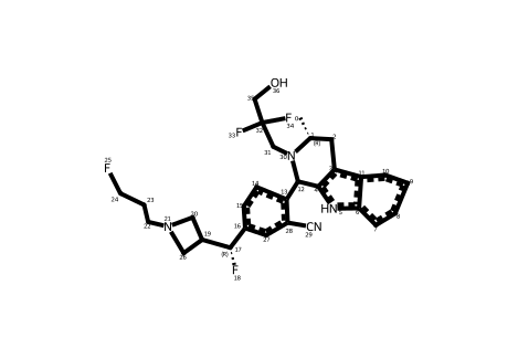 C[C@@H]1Cc2c([nH]c3ccccc23)C(c2ccc([C@H](F)C3CN(CCCF)C3)cc2C#N)N1CC(F)(F)CO